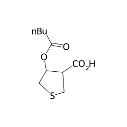 CCCCC(=O)OC1CSCC1C(=O)O